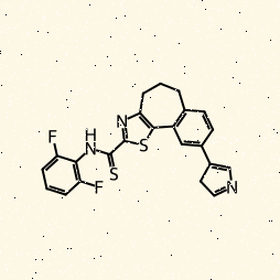 Fc1cccc(F)c1NC(=S)c1nc2c(s1)-c1cc(C3=CN=CC3)ccc1CCC2